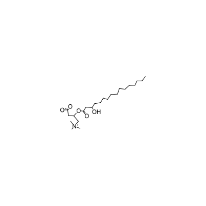 CCCCCCCCCCCCCC(O)CC(=O)OC(CC(=O)[O-])C[N+](C)(C)C